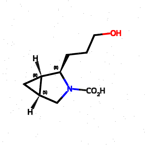 O=C(O)N1C[C@H]2C[C@H]2[C@H]1CCCO